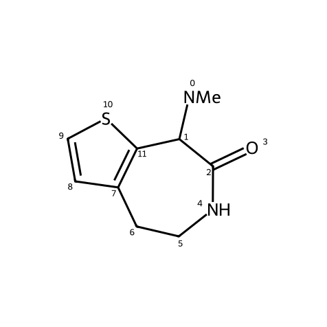 CNC1C(=O)NCCc2ccsc21